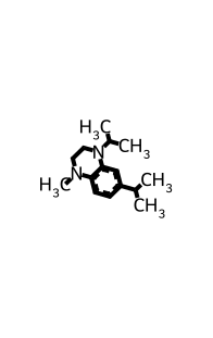 CC(C)c1ccc2c(c1)N(C(C)C)CCN2C